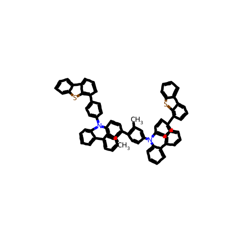 Cc1cc(N(c2ccc(-c3cccc4c3sc3ccccc34)cc2)c2ccccc2-c2ccccc2)ccc1-c1ccc(N(c2ccc(-c3cccc4c3sc3ccccc34)cc2)c2ccccc2-c2ccccc2)cc1C